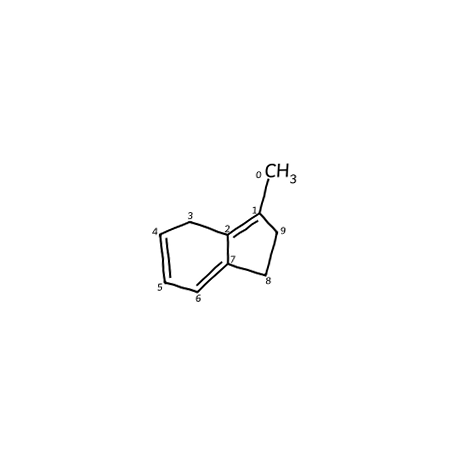 CC1=C2CC=CC=C2CC1